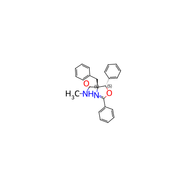 CNC(=O)[C@@]1(Cc2ccccc2)N=C(c2ccccc2)O[C@H]1c1ccccc1